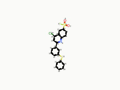 O=S(=O)(F)c1ccc2nc(-c3cccc(Sc4ccccc4)c3)cc(Cl)c2c1